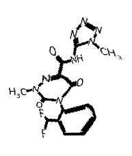 Cn1nnnc1NC(=O)c1nn(C)c(=O)n(-c2ccccc2C(F)F)c1=O